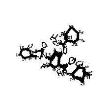 CC(Oc1cc(-n2nc3n(c2=O)CCCC3)c(F)cc1C(=O)Nc1ccc(F)cc1Cl)C1CCCCC1